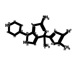 [2H]c1nc(C2(N)N=C(N)N=C3C2=CNN3C2CCNCC2)sc1C